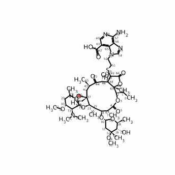 CC[C@H]1OC(=O)[C@H](C)[C@@H](O[C@H]2C[C@@](C)(OC)[C@@H](O)[C@H](C)O2)[C@H](C)[C@@H](O[C@@H]2O[C@H](C)C[C@@H](OC)[C@@H]2N(C)C)[C@](C)(OC)C[C@@H](C)C(=O)[C@H](C)[C@H]2C(SCCn3cnc4c(N)ncc(C(=O)O)c43)C(=O)O[C@@]21C